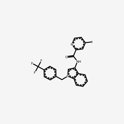 O=C(Nc1cn(Cc2ccc(C(F)(F)F)cc2)c2ccccc12)c1cc(I)ccn1